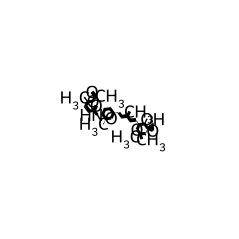 CC(=O)O[C@H](C)/C=C\C(=O)N[C@@H]1CC[C@H](C/C=C(C)/C=C/[C@H]2OC(C)(C)C[C@@]3(CO3)[C@@H]2O)O[C@@H]1C